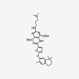 COc1nc(NCCCN(C)C)nc(OC)c1NC(=O)c1ccc(Oc2cc3c(cc2C)CCCC3(C)C)o1